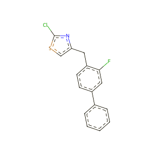 Fc1cc(-c2ccccc2)ccc1Cc1csc(Cl)n1